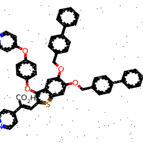 O=C(O)C(=Cc1sc2cc(OCc3ccc(-c4ccccc4)cc3)c(OCc3ccc(-c4ccccc4)cc3)cc2c1Oc1ccc(Oc2ccncc2)cc1)c1ccncc1